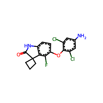 Nc1cc(Cl)c(Oc2ccc3c(c2F)C2(CCC2)C(=O)N3)c(Cl)c1